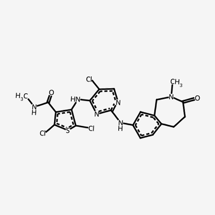 CNC(=O)c1c(Cl)sc(Cl)c1Nc1nc(Nc2ccc3c(c2)CN(C)C(=O)CC3)ncc1Cl